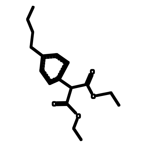 CCCCc1ccc(C(C(=O)OCC)C(=O)OCC)cc1